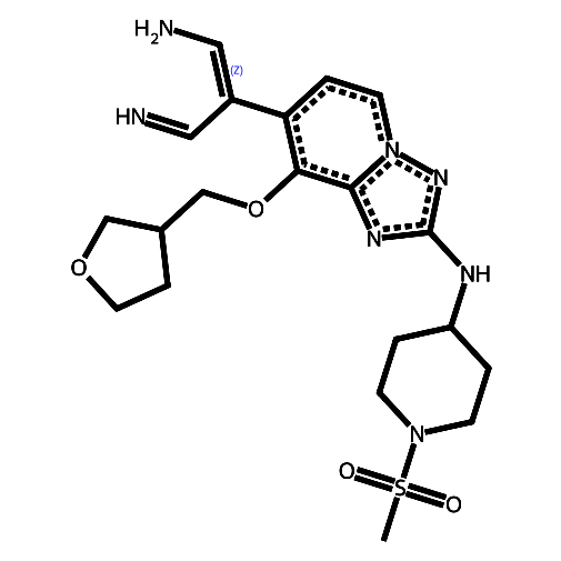 CS(=O)(=O)N1CCC(Nc2nc3c(OCC4CCOC4)c(/C(C=N)=C/N)ccn3n2)CC1